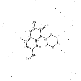 CCNc1nc(C)c2cc(Br)c(=O)n(C3CCCCC3)c2n1